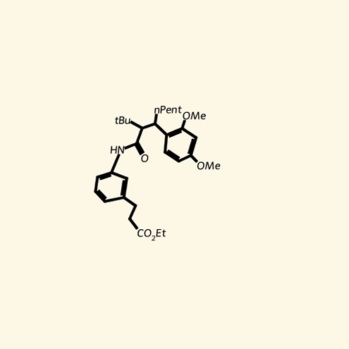 CCCCCC(c1ccc(OC)cc1OC)C(C(=O)Nc1cccc(CCC(=O)OCC)c1)C(C)(C)C